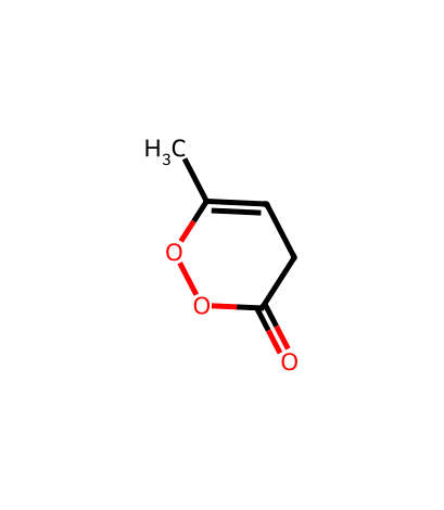 CC1=CCC(=O)OO1